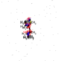 C=C1C[C@@H](CO[Si](C)(C)C(C)(C)C)N(C(=O)c2cc(OC)c(OCCCCCOc3cc(NC(=O)OCC(C)SSc4ccc([N+](=O)[O-])cn4)c(C(=O)N4CC(=C)C[C@H]4CO[Si](C)(C)C(C)(C)C)cc3OC)cc2NC(=O)O)C1